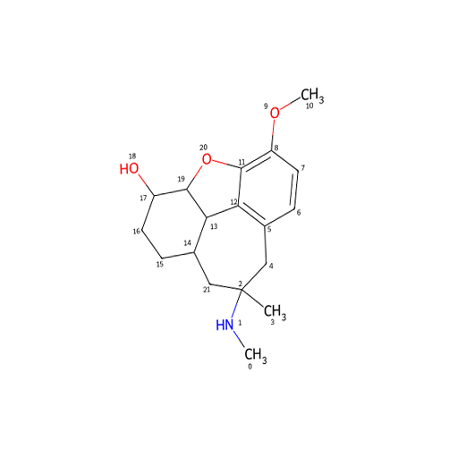 CNC1(C)Cc2ccc(OC)c3c2C2C(CCC(O)C2O3)C1